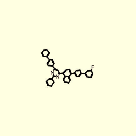 Fc1cccc(-c2ccc(-c3ccc(-c4cc(-c5ccc(-c6ccccc6)cc5)nc(C5=CC=CCC5)n4)c4ccccc34)cc2)c1